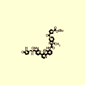 COc1nc(-c2ccnc(-c3cccc(NC(=O)c4nc5c(n4C)CCN(C(=O)[C@H]4CCN(C(=O)OC(C)(C)C)C4)C5)c3Cl)c2Cl)ccc1CNC[C@@H]1CCC(=O)N1